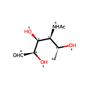 CC(=O)N[C@H]([C@H](O)[C@@H](O)C=O)[C@@H](C)O